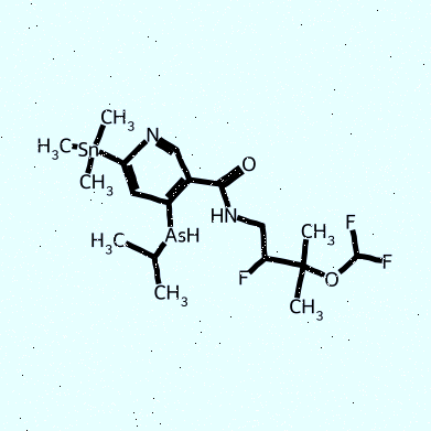 CC(C)[AsH]c1c[c]([Sn]([CH3])([CH3])[CH3])ncc1C(=O)NCC(F)C(C)(C)OC(F)F